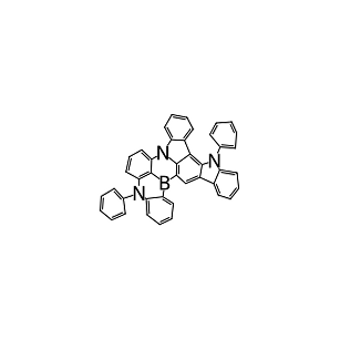 c1ccc(N2c3ccccc3B3c4c2cccc4-n2c4ccccc4c4c2c3cc2c3ccccc3n(-c3ccccc3)c24)cc1